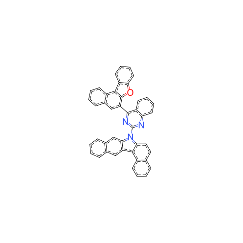 c1ccc2cc3c(cc2c1)c1c2ccccc2ccc1n3-c1nc(-c2cc3ccccc3c3c2oc2ccccc23)c2ccccc2n1